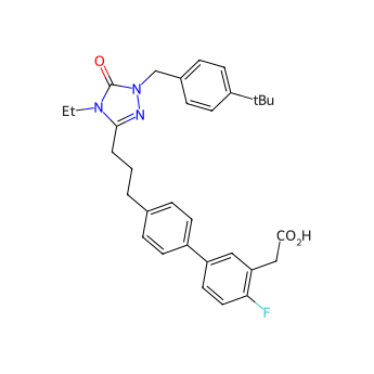 CCn1c(CCCc2ccc(-c3ccc(F)c(CC(=O)O)c3)cc2)nn(Cc2ccc(C(C)(C)C)cc2)c1=O